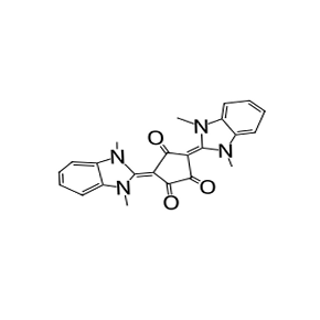 CN1C(=c2c(=O)c(=O)c(=C3N(C)c4ccccc4N3C)c2=O)N(C)c2ccccc21